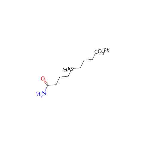 CCOC(=O)CCC[AsH]CCCC(N)=O